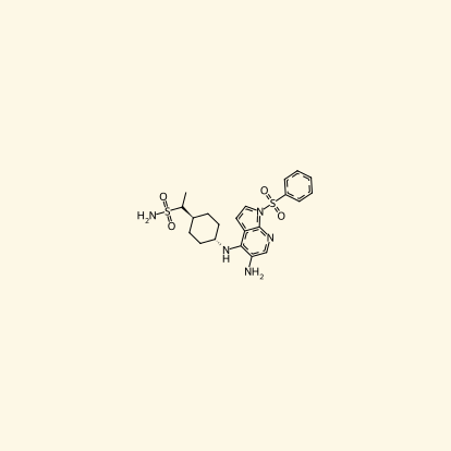 CC([C@H]1CC[C@H](Nc2c(N)cnc3c2ccn3S(=O)(=O)c2ccccc2)CC1)S(N)(=O)=O